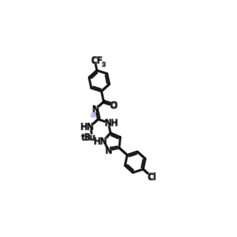 CC(C)(C)N/C(=N/C(=O)c1ccc(C(F)(F)F)cc1)Nc1cc(-c2ccc(Cl)cc2)n[nH]1